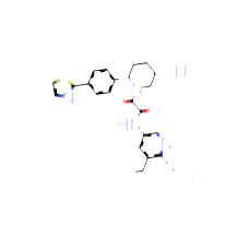 CCc1cc(NC(=O)C(=O)N2C[C@@H](C)CC[C@@H]2c2ccc(-c3nccs3)cc2)cnc1N